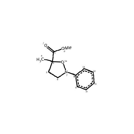 COC(=O)C1(C)CCN(c2ccccc2)O1